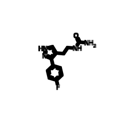 NC(=O)NCCc1c[nH]nc1-c1ccc(F)cc1